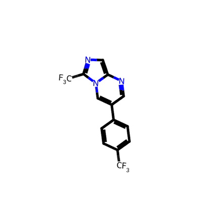 FC(F)(F)c1ccc(-c2cnc3cnc(C(F)(F)F)n3c2)cc1